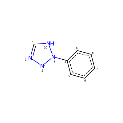 C1=N[N]N(c2ccccc2)N1